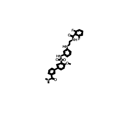 COc1ccc(-c2cccc(C(=O)N(C)C)c2)cc1S(=O)(=O)Nc1cccc(NCCNC(=O)c2c(F)cccc2F)c1